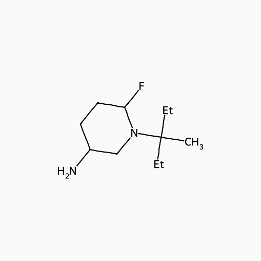 CCC(C)(CC)N1CC(N)CCC1F